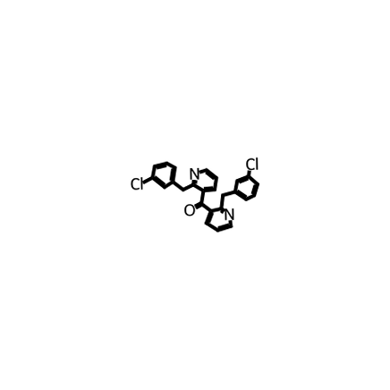 O=C(c1cccnc1Cc1cccc(Cl)c1)c1cccnc1Cc1cccc(Cl)c1